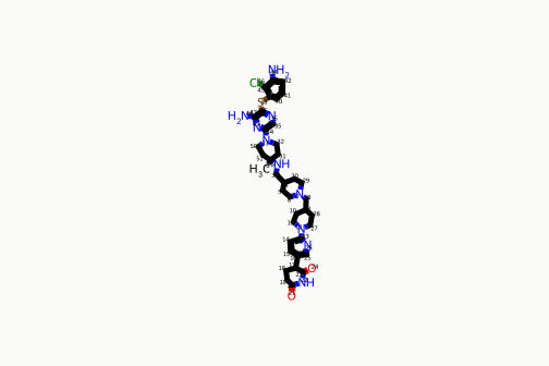 CC1(NCC2CCN(CC3CCN(c4ccc(C5CCC(=O)NC5=O)cn4)CC3)CC2)CCN(c2cnc(Sc3cccc(N)c3Cl)c(N)n2)CC1